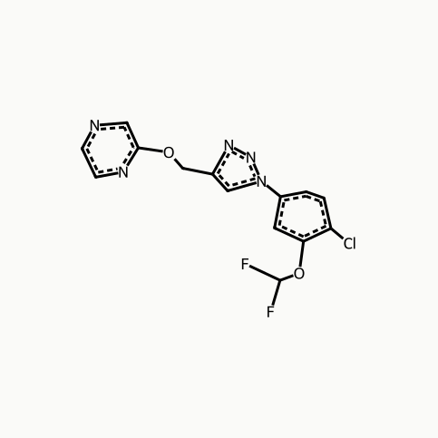 FC(F)Oc1cc(-n2cc(COc3cnccn3)nn2)ccc1Cl